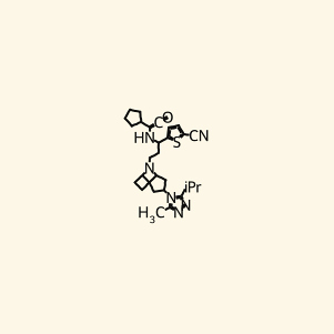 Cc1nnc(C(C)C)n1C1CC2N(CCC(NC(=C=O)C3CCCC3)c3ccc(C#N)s3)C3CCC32C1